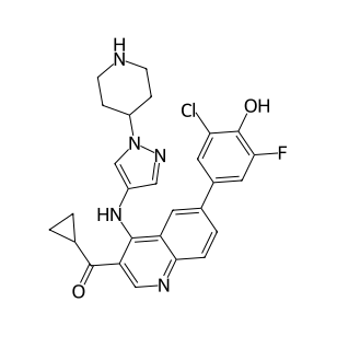 O=C(c1cnc2ccc(-c3cc(F)c(O)c(Cl)c3)cc2c1Nc1cnn(C2CCNCC2)c1)C1CC1